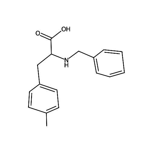 Cc1ccc(CC(NCc2ccccc2)C(=O)O)cc1